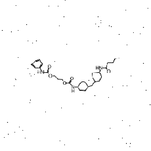 CCCCC(=O)NC1CCC(CC2CCC(NC(=O)OCCCOC(=O)Nc3ccccc3)CC2)CC1